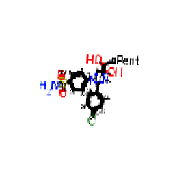 CCCCCC(O)C1(O)CN(c2ccc(S(N)(=O)=O)cc2)C(c2ccc(Cl)cc2)=N1